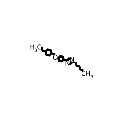 CCCCCCc1cnc(-c2ccc(OCC3CCC(CCC)CC3)cc2)cn1